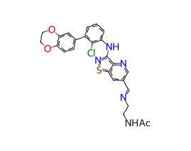 CC(=O)NCCN=Cc1cnc2c(Nc3cccc(-c4ccc5c(c4)OCCO5)c3Cl)nsc2c1